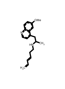 C=C/C=C/CCNC(C)Cc1ccnc2ccc(OC)cc12